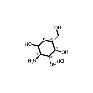 Cl.N[C@H]1C(O)S[C@H](CO)[C@@H](O)[C@@H]1O